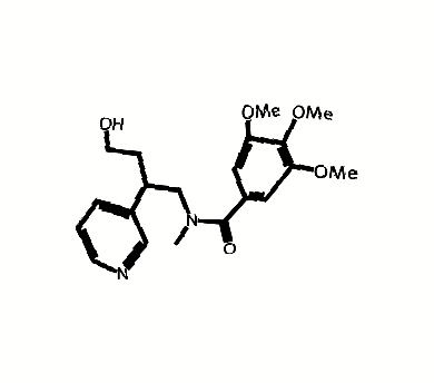 COc1cc(C(=O)N(C)CC(CCO)c2cccnc2)cc(OC)c1OC